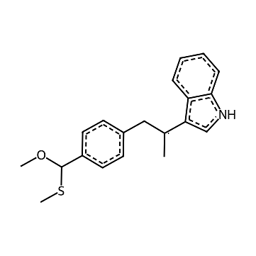 COC(SC)c1ccc(C[C](C)c2c[nH]c3ccccc23)cc1